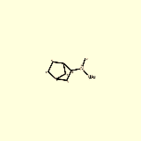 CN(C1CC2CCC1C2)C(C)(C)C